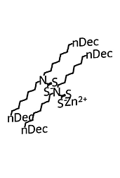 CCCCCCCCCCCCCCCCCN(CCCCCCCCCCCCCCCCC)C(=S)[S-].CCCCCCCCCCCCCCCCCN(CCCCCCCCCCCCCCCCC)C(=S)[S-].[Zn+2]